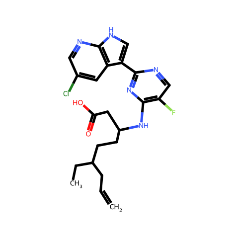 C=CCC(CC)CCC(CC(=O)O)Nc1nc(-c2c[nH]c3ncc(Cl)cc23)ncc1F